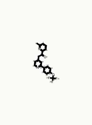 Cc1cccc(C(=O)Cc2ccnc(-c3ccc(OC(F)(F)F)cc3)c2)n1